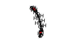 C[C@H]1CC[C@]2(OC1)O[C@H]1C[C@H]3[C@@H]4CC=C5C[C@@H](OC(=O)NCCNCCNCCNCCNC(=O)O[C@H]6CC[C@@]7(C)C(=CC[C@H]8[C@@H]9C[C@@H]%10O[C@@]%11(CC[C@H](C)CO%11)[C@@H](C)[C@@H]%10[C@@]9(C)CC[C@@H]87)C6)CC[C@]5(C)[C@H]4CC[C@]3(C)[C@H]1[C@@H]2C